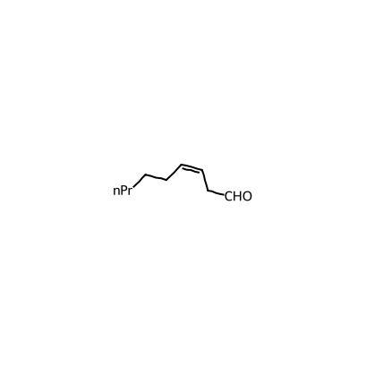 C[CH]CCC/C=C\CC=O